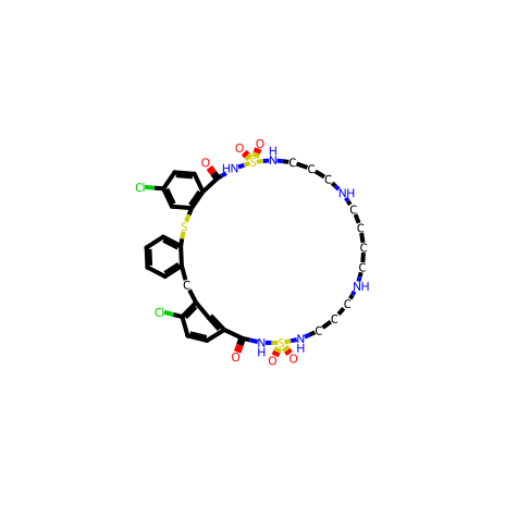 O=C1NS(=O)(=O)NCCCNCCCCNCCCNS(=O)(=O)NC(=O)c2ccc(Cl)cc2Sc2ccccc2Cc2cc1ccc2Cl